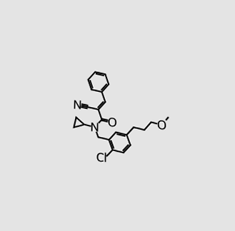 COCCCc1ccc(Cl)c(CN(C(=O)C(C#N)=Cc2ccccc2)C2CC2)c1